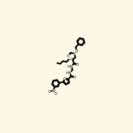 CCCCC[C@H](CN(C=O)OCc1ccccc1)C(=O)NCNC(=O)c1ccc(-c2cccc([N+](=O)[O-])c2)o1